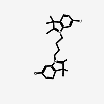 CC1=[N+](CCCC[N+]2=C(C)C(C)(C)c3ccc(Cl)cc32)c2cc(Cl)ccc2C1(C)C